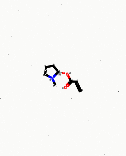 C=CC(=O)O[C@H]1CCCN1C